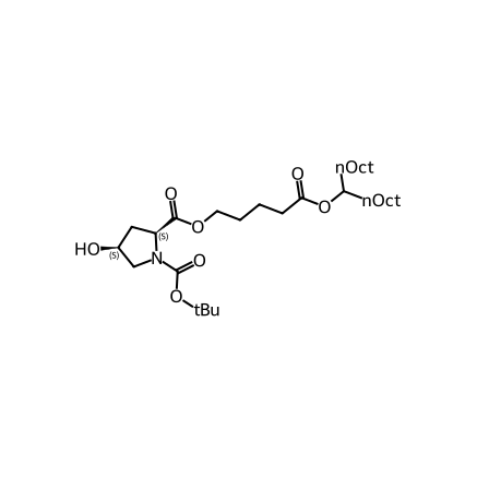 CCCCCCCCC(CCCCCCCC)OC(=O)CCCCOC(=O)[C@@H]1C[C@H](O)CN1C(=O)OC(C)(C)C